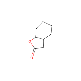 O=C1CC2CCCCC2O1